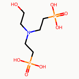 O=P(O)(O)CCN(CCO)CCP(=O)(O)O